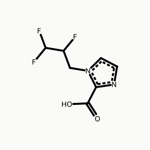 O=C(O)c1nccn1CC(F)C(F)F